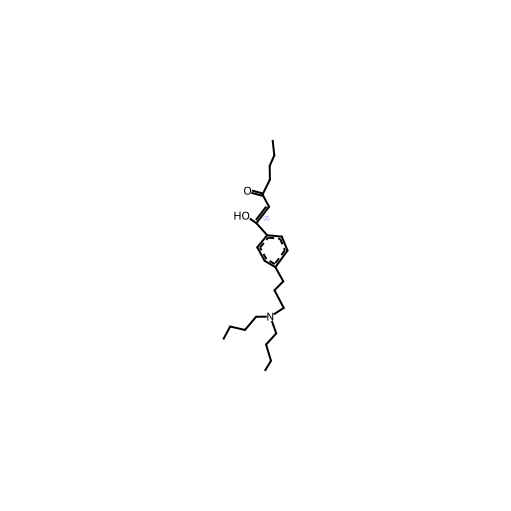 CCCCC(=O)/C=C(\O)c1ccc(CCCN(CCCC)CCCC)cc1